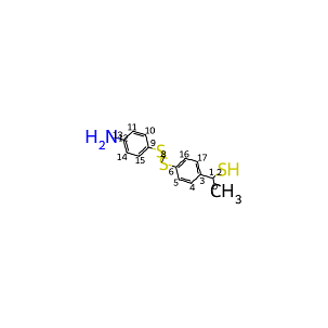 CC(S)c1ccc(SSc2ccc(N)cc2)cc1